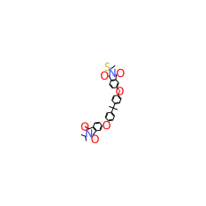 CSC(C)N1C(=O)c2ccc(Oc3ccc(C(C)(C)c4ccc(Oc5ccc6c(c5)C(=O)N(C(C)C)C6=O)cc4)cc3)cc2C1=O